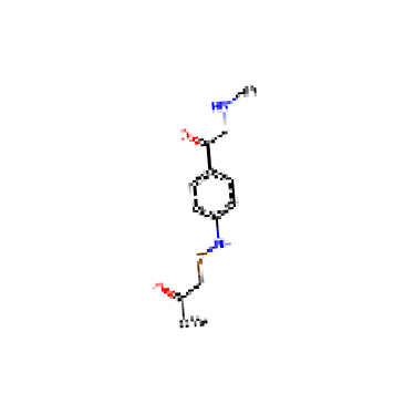 COC(=O)CSNc1ccc(C(=O)CNC(C)C)cc1